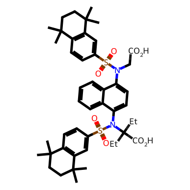 CCC(CC)(C(=O)O)N(c1ccc(N(CC(=O)O)S(=O)(=O)c2ccc3c(c2)C(C)(C)CCC3(C)C)c2ccccc12)S(=O)(=O)c1ccc2c(c1)C(C)(C)CCC2(C)C